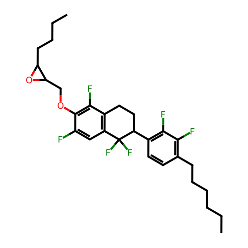 CCCCCCc1ccc(C2CCc3c(cc(F)c(OCC4OC4CCCC)c3F)C2(F)F)c(F)c1F